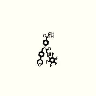 O=C(NO)c1ccc(N(Cc2ccc(C3CCOCC3)cc2)C(=O)CNSc2c(F)c(F)c(F)c(F)c2F)cc1